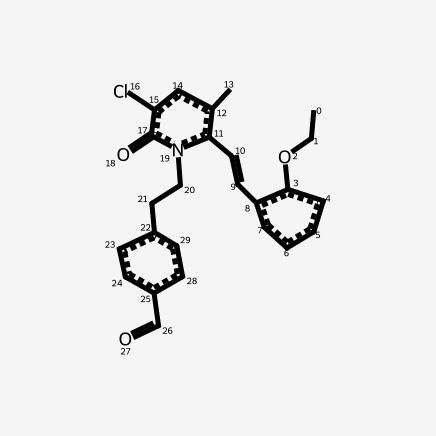 CCOc1ccccc1/C=C/c1c(C)cc(Cl)c(=O)n1CCc1ccc(C=O)cc1